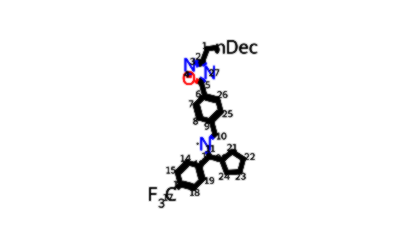 CCCCCCCCCCCc1noc(-c2ccc(C[N]C(c3ccc(C(F)(F)F)cc3)C3CCCC3)cc2)n1